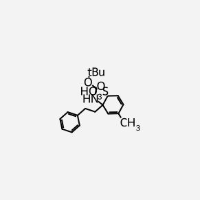 CC1=CC(CCc2ccccc2)(NC(=O)OC(C)(C)C)C(S(=O)(=O)O)C=C1